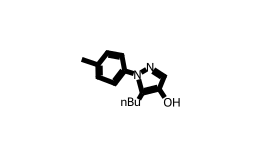 CCCCc1c(O)cnn1-c1ccc(C)cc1